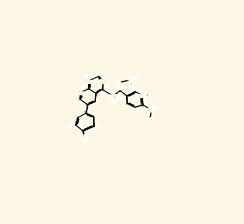 COc1ccc([C@@H](CO)Nc2ncnc3ncc(-c4ccc(F)cc4)cc23)cn1